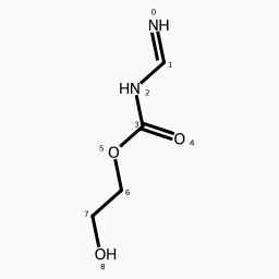 N=CNC(=O)OCCO